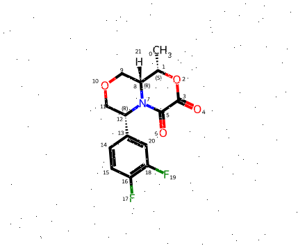 C[C@@H]1OC(=O)C(=O)N2[C@@H]1COC[C@H]2c1ccc(F)c(F)c1